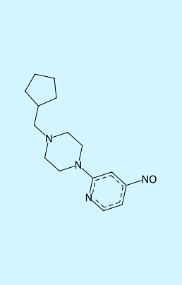 O=Nc1ccnc(N2CCN(CC3CCCC3)CC2)c1